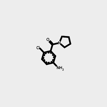 Nc1ccc(Cl)c(C(=O)N2CCCC2)c1